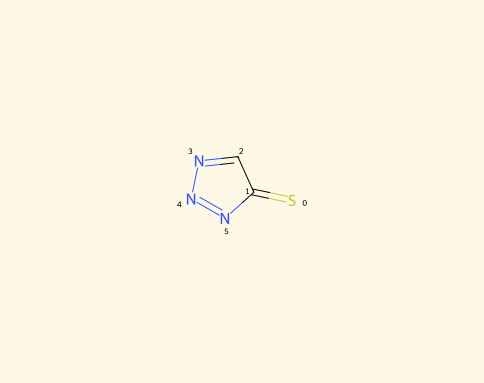 S=C1C=NN=N1